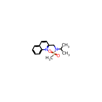 CC(C)N(Cc1ccc2ccccc2n1)S(C)(=O)=O